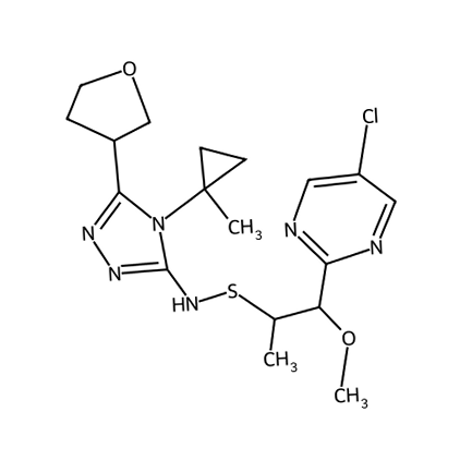 COC(c1ncc(Cl)cn1)C(C)SNc1nnc(C2CCOC2)n1C1(C)CC1